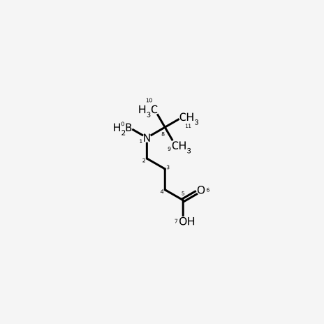 BN(CCCC(=O)O)C(C)(C)C